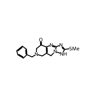 CSC1=NC2=NC3=C(CN(Cc4ccccc4)CC3=O)CN2N1